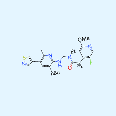 CCCCc1cc(-c2cnsc2)c(C)nc1NCN(CC)C(=O)[C@H](C)c1cc(OC)ncc1F